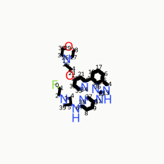 FCCN1CC(Nc2ccc(Nc3ncc4cccc(-c5cc(OCCN6CCOCC6)ccn5)c4n3)cn2)C1